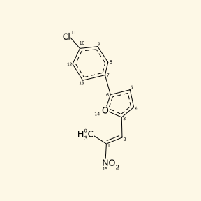 CC(=Cc1ccc(-c2ccc(Cl)cc2)o1)[N+](=O)[O-]